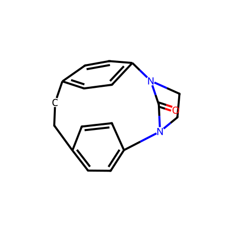 O=C1N2CCN1c1ccc(cc1)CCc1ccc2cc1